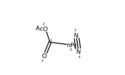 CCCC(=O)OC(C)=O.N#N